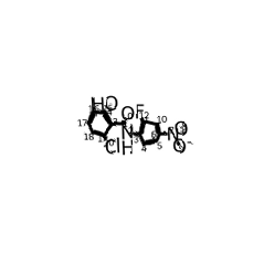 O=C(Nc1ccc([N+](=O)[O-])cc1F)c1c(O)cccc1Cl